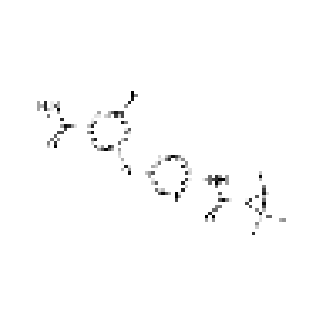 CC1(C)C(C(=O)Nc2ccc(Oc3cc(F)cc(C(N)=O)c3)cn2)C1(C)C